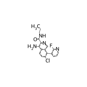 CCCNC(=O)c1ncc2c(-c3cccnc3F)c(Cl)ccc2c1N